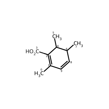 CC1=C(C(=O)O)C(C)C(C)C=C1